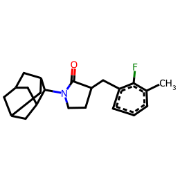 Cc1cccc(CC2CCN(C3C4CC5CC(C4)CC3C5)C2=O)c1F